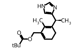 CC1=C([C@H](C)c2c[nH]cn2)CCC=C1COC(=O)C(C)(C)C